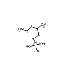 BCCC(CO[PH](O)(O)O)OC